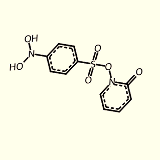 O=c1ccccn1OS(=O)(=O)c1ccc(N(O)O)cc1